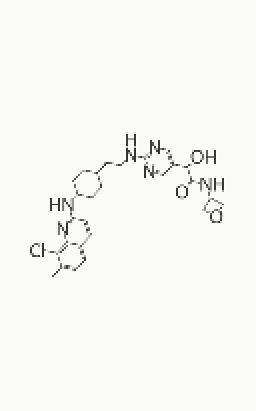 Cc1ccc2ccc(N[C@H]3CC[C@H](CCNc4ncc([C@@H](O)C(=O)NC5COC5)cn4)CC3)nc2c1Cl